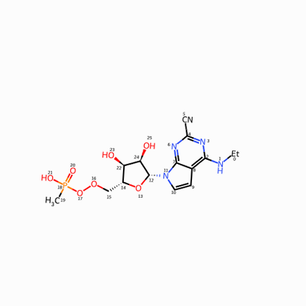 CCNc1nc(C#N)nc2c1ccn2[C@@H]1O[C@H](COOP(C)(=O)O)[C@@H](O)[C@H]1O